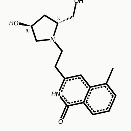 Cc1cccc2c(=O)[nH]c(CCN3C[C@@H](O)C[C@@H]3CO)cc12